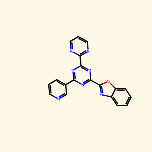 c1cnc(-c2nc(-c3cccnc3)nc(-c3nc4ccccc4o3)n2)nc1